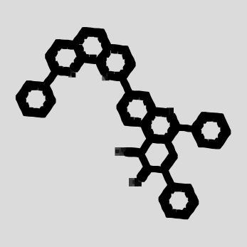 N=C1C(=N)c2c(c(-c3ccccc3)nc3cc(-c4ccc5ccc6ccc(-c7ccccc7)nc6c5n4)ccc23)C=C1c1ccccc1